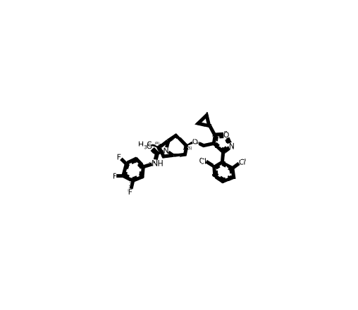 C[C@@H]1CC2C[C@H](OCc3c(-c4c(Cl)cccc4Cl)noc3C3CC3)CC1N2C(=O)Nc1cc(F)c(F)c(F)c1